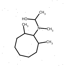 CC1CCCCCC(C)C1N(C)C(C)O